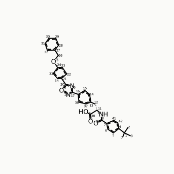 CC(C)(C)c1ccc(C(=O)N[C@@H](Cc2ccc(-c3noc(-c4ccc(OCc5ccccc5)cc4)n3)cc2)C(=O)O)cc1